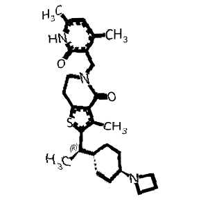 Cc1cc(C)c(CN2CCc3sc([C@H](C)[C@H]4CC[C@H](N5CCC5)CC4)c(C)c3C2=O)c(=O)[nH]1